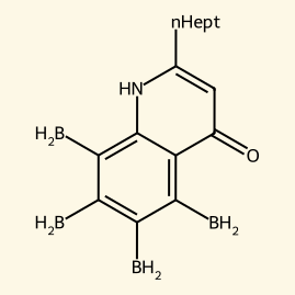 Bc1c(B)c(B)c2c(=O)cc(CCCCCCC)[nH]c2c1B